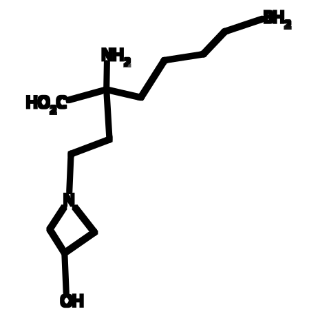 BCCCCC(N)(CCN1CC(O)C1)C(=O)O